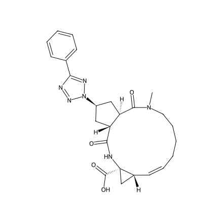 CN1CCCC/C=C\[C@@H]2C[C@@]2(C(=O)O)NC(=O)[C@@H]2C[C@@H](n3nnc(-c4ccccc4)n3)C[C@H]2C1=O